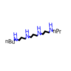 CCCCNCCCNCCCNCCCNCCC